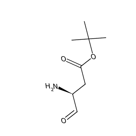 CC(C)(C)OC(=O)C[C@H](N)C=O